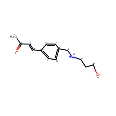 COC(=O)C=Cc1ccc(CNCCCO)cc1